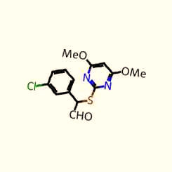 COc1cc(OC)nc(SC(C=O)c2cccc(Cl)c2)n1